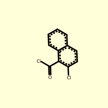 O=C(Cl)c1c(Cl)ccc2ccccc12